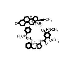 CC#C[C@]1(O)CC[C@H]2[C@@H]3CCC4=CC(=O)CCC4=C3[C@@H](c3ccc(N(C)C)cc3)C[C@@]21C.CNc1cc(OC)c(C(=O)N[C@H]2CCN(Cc3ccccc3)[C@H]2C)cc1Cl